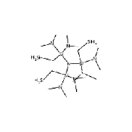 CN(C)[Si](C[SiH3])(N(C)C)N([Si](C[SiH3])(N(C)C)N(C)C)[Si](C[SiH3])(N(C)C)N(C)C